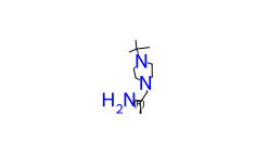 C[C@@H](N)CN1CCN(C(C)(C)C)CC1